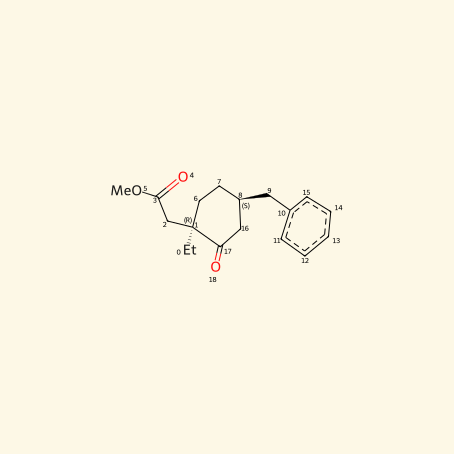 CC[C@]1(CC(=O)OC)CC[C@@H](Cc2ccccc2)CC1=O